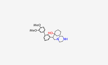 COc1ccc(-c2cccc(C(CN3CCNCC3)C3(O)CCCCC3)c2)cc1OC